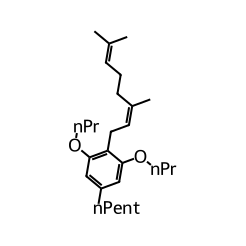 CCCCCc1cc(OCCC)c(CC=C(C)CCC=C(C)C)c(OCCC)c1